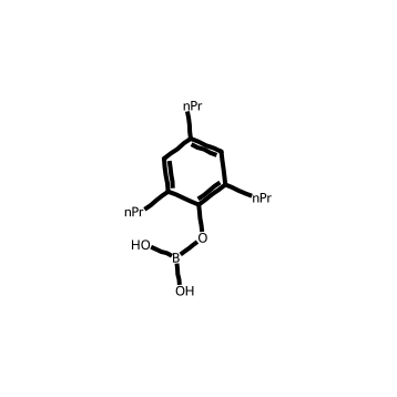 CCCc1cc(CCC)c(OB(O)O)c(CCC)c1